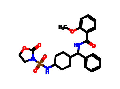 COc1ccccc1C(=O)NC(c1ccccc1)C1CCC(NS(=O)(=O)N2CCOC2=O)CC1